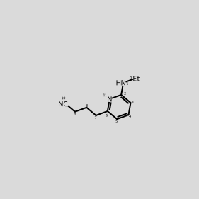 CCNc1cccc(CCCC#N)n1